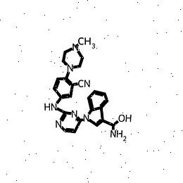 CN1CCN(c2ccc(Nc3nccc(-n4cc(C(N)O)c5ccccc54)n3)cc2C#N)CC1